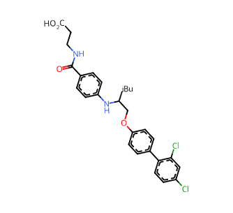 CCC(C)C(COc1ccc(-c2ccc(Cl)cc2Cl)cc1)Nc1ccc(C(=O)NCCC(=O)O)cc1